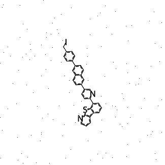 ICc1ccc(-c2ccc3cc(-c4ccc(-c5cccc6c5sc5ncccc56)nc4)ccc3c2)cc1